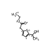 CCOC(=O)Cc1ccc(C(C)O)s1